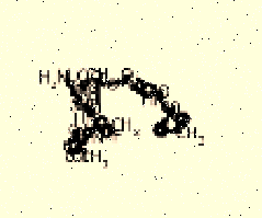 CCC1(O)C(=O)OCc2c1cc1n(c2=O)Cc2c-1nc1cc(F)c(C)c3c1c2C(NC(=O)CNC(=O)C(CCCCN)NC(=O)C(NC(=O)CCOCCC(=O)N1CCC2(CCC(C(=O)NCCC(=O)N4Cc5ccccc5/C=C(/C)c5ccccc54)CC2)CC1)C(C)C)CC3